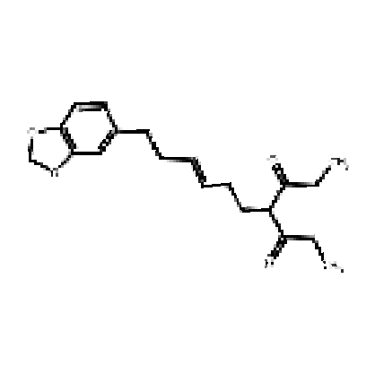 CCC(=O)C(CC/C=C/CCc1ccc2c(c1)OCO2)C(=O)CC